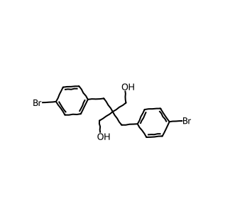 OCC(CO)(Cc1ccc(Br)cc1)Cc1ccc(Br)cc1